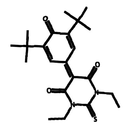 CCN1C(=O)C(=C2C=C(C(C)(C)C)C(=O)C(C(C)(C)C)=C2)C(=O)N(CC)C1=S